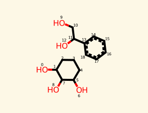 OC1CCCC(O)C1O.OCC(O)c1ccccc1